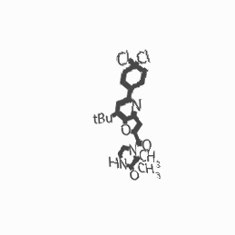 CC(C)(C)c1cc(C2CCC(Cl)(Cl)CC2)nc2cc(C(=O)N3CCNC(=O)C3(C)C)oc12